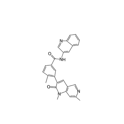 Cc1cc2c(cn1)cc(-c1cc(C(=O)Nc3cnc4ccccc4c3)ccc1C)c(=O)n2C